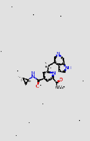 CNC(=O)c1cc(C(=O)N[C@H]2C[C@@H]2C)cc([C@H](C)c2cncc3[nH]ccc23)n1